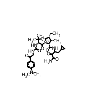 CC[C@H]1CN(C(=O)[C@@H](NC(=O)NCC(=O)c2ccc(N(C)C)cc2)C(C)(C)C)[C@H](C(=O)NC(CC2CC2)C(=O)C(N)=O)[C@H]1C